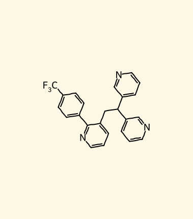 FC(F)(F)c1ccc(-c2ncccc2CC(c2cccnc2)c2cccnc2)cc1